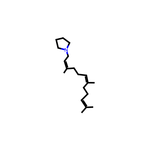 CC(C)=CCCC(C)=CCCC(C)=CCN1CCCC1